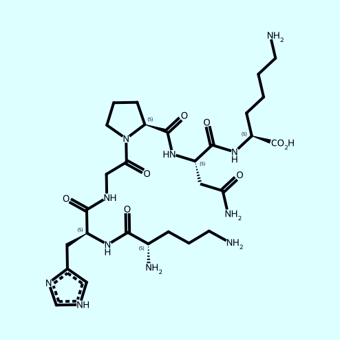 NCCCC[C@H](NC(=O)[C@H](CC(N)=O)NC(=O)[C@@H]1CCCN1C(=O)CNC(=O)[C@H](Cc1c[nH]cn1)NC(=O)[C@@H](N)CCCN)C(=O)O